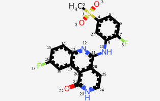 CS(=O)(=O)c1ccc(F)c(Nc2nc3ccc(F)cc3c3c(=O)[nH]ccc23)c1